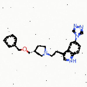 c1ccc(COC[C@@H]2CCN(CCc3c[nH]c4ccc(-n5cnnc5)cc34)C2)cc1